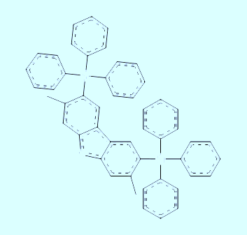 Cc1cc2sc3cc(C)c([Si](c4ccccc4)(c4ccccc4)c4ccccc4)cc3c2cc1[Si](c1ccccc1)(c1ccccc1)c1ccccc1